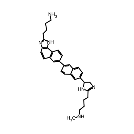 CNCCCCC1=NCC(c2ccc3cc(-c4ccc5c(ccc6nc(CCCCN)[nH]c65)c4)ccc3c2)N1